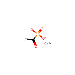 CCC(=O)P(=O)([O-])[O-].[Ca+2]